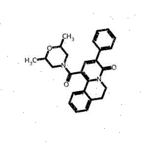 CC1CN(C(=O)c2cc(-c3ccccc3)c(=O)n3c2-c2ccccc2CC3)CC(C)O1